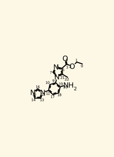 CCOC(=O)c1ncn(-c2cc(-n3ccnc3)ccc2N)c1C